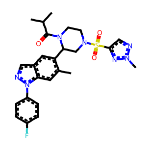 Cc1cc2c(cnn2-c2ccc(F)cc2)cc1C1CN(S(=O)(=O)c2cnn(C)n2)CCN1C(=O)C(C)C